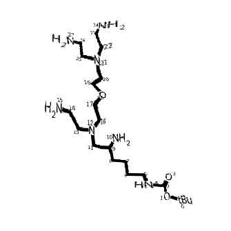 CC(C)(C)OC(=O)NCCCCC(N)CN(CCN)CCOCCN(CCN)CCN